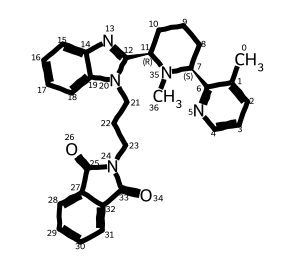 Cc1cccnc1[C@@H]1CCC[C@H](c2nc3ccccc3n2CCCN2C(=O)c3ccccc3C2=O)N1C